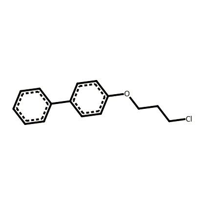 ClCCCOc1ccc(-c2ccccc2)cc1